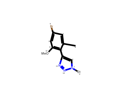 CCn1cc(-c2c(C)cc(Br)cc2OC)nn1